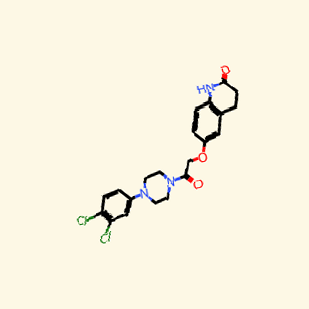 O=C1CCc2cc(OCC(=O)N3CCN(c4ccc(Cl)c(Cl)c4)CC3)ccc2N1